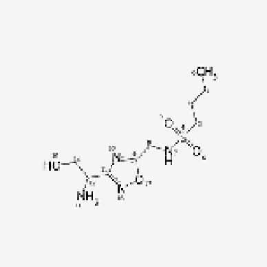 CCCCS(=O)(=O)NCc1nc(C(N)CO)no1